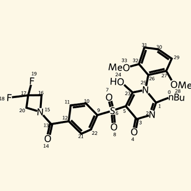 CCCCc1nc(=O)c(S(=O)(=O)c2ccc(C(=O)N3CC(F)(F)C3)cc2)c(O)n1-c1c(OC)cccc1OC